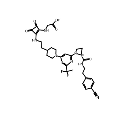 N#Cc1ccc(CCNC(=O)[C@@H]2CCN2c2cc(N3CCC(CCNc4c(NCC(=O)O)c(=O)c4=O)CC3)nc(C(F)(F)F)n2)cc1